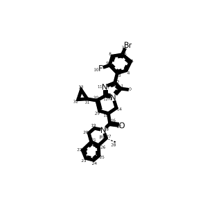 Cc1c(-c2ccc(Br)cc2F)nc2n1CC(C(=O)N1CCc3ccccc3[C@H]1C)C=C2C1CC1